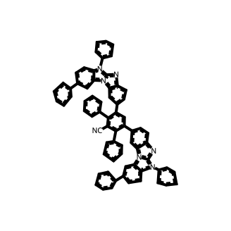 N#Cc1c(-c2ccccc2)c(-c2ccc3nc4n(-c5ccccc5)c5ccc(-c6ccccc6)cc5n4c3c2)cc(-c2ccc3nc4n(-c5ccccc5)c5ccc(-c6ccccc6)cc5n4c3c2)c1-c1ccccc1